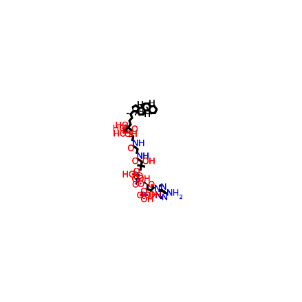 C[C@H](CCCC(O)(C(=O)SCCNC(=O)CCNC(=O)[C@H](O)C(C)(C)COP(=O)(O)OP(=O)(O)OC[C@H]1O[C@@H](n2cnc3c(N)ncnc32)[C@H](O)[C@@H]1OP(=O)(O)O)C(O)(O)O)[C@H]1CC[C@H]2[C@@H]3CC[C@@H]4CCCC[C@]4(C)[C@H]3CC[C@]12C